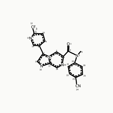 CN(C(=O)c1cn2c(-c3ccc(C(F)(F)F)nc3)cnc2cn1)c1ccc(C#N)cc1